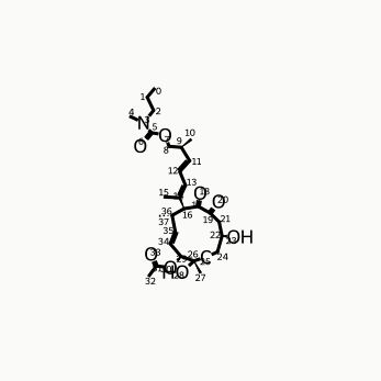 CCCN(C)C(=O)OC[C@@H](C)/C=C/C=C(\C)[C@H]1C(=O)C(=O)C[C@@H](O)CC[C@](C)(O)[C@@H](OC(C)=O)/C=C/[C@@H]1C